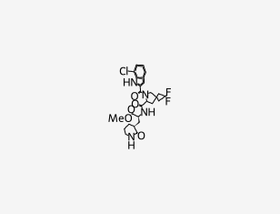 COC(=O)[C@H](C[C@@H]1CCCNC1=O)NC(=O)C1CC2(CN1C(=O)c1cc3cccc(Cl)c3[nH]1)CC(F)(F)C2